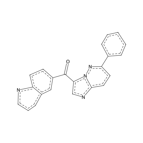 O=C(c1ccc2ncccc2c1)c1cnc2ccc(-c3ccccc3)nn12